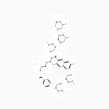 CO[C@H](C(=O)[C@@H](O)[C@@H](C)OC(=O)c1ccccc1)[C@@H]1Cc2cc3cc(O[C@H]4C[C@@H](O[C@H]5C[C@@H](O)[C@H](O)C(C)O5)[C@H](O)C(C)O4)c(C)c(O)c3c(O)c2C(=O)[C@H]1O[C@H]1C[C@@H](O[C@@H]2CC(C)[C@H](O)[C@H](O[C@@H]3CC(C)[C@@H](O)[C@@](C)(O)C3)C2)[C@H](O)C(C)O1